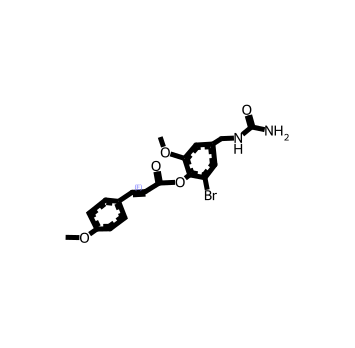 COc1ccc(/C=C/C(=O)Oc2c(Br)cc(CNC(N)=O)cc2OC)cc1